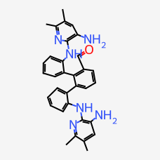 Cc1cc(N)c(Nc2ccccc2-c2cccc(C=O)c2-c2ccccc2Nc2nc(C)c(C)cc2N)nc1C